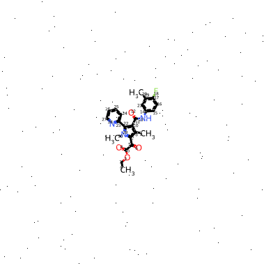 CCOC(=O)C(=O)c1c(C)c(C(=O)Nc2ccc(F)c(C)c2)c(-c2ccccn2)n1C